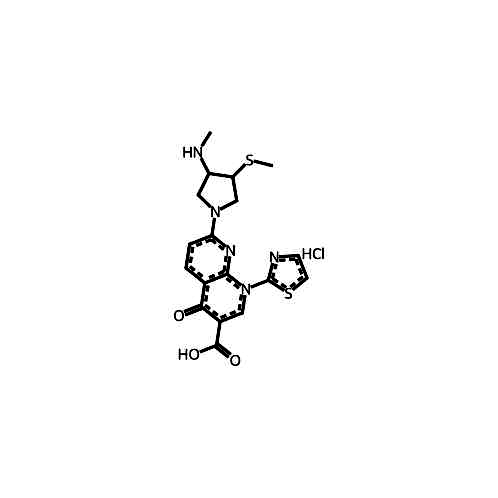 CNC1CN(c2ccc3c(=O)c(C(=O)O)cn(-c4nccs4)c3n2)CC1SC.Cl